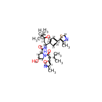 Cc1cc([C@H](C(=O)N2C[C@H](O)C[C@H]2C(=O)N[C@@H](CC(=O)C(C)(C)C)c2ccc(-c3scnc3C)cc2)C(C)C)on1